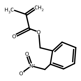 C=C(C)C(=O)OCc1ccccc1C[N+](=O)[O-]